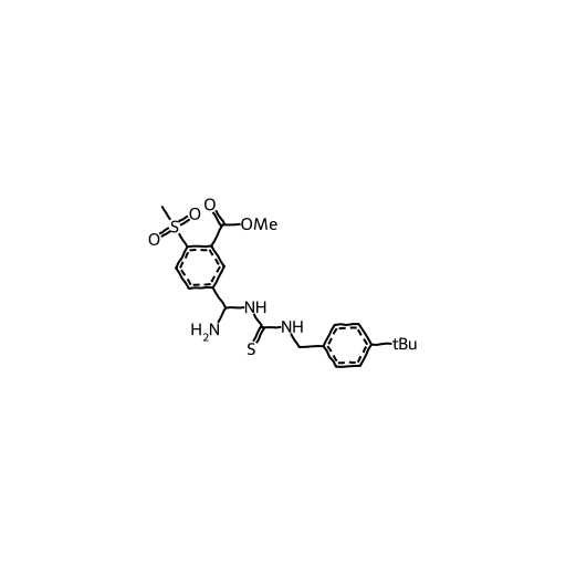 COC(=O)c1cc(C(N)NC(=S)NCc2ccc(C(C)(C)C)cc2)ccc1S(C)(=O)=O